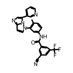 Cc1ccc(NC(=O)c2cc(C#N)cc(C(F)(F)F)c2)cc1-n1ccc2ncc(-c3cccnc3)n21